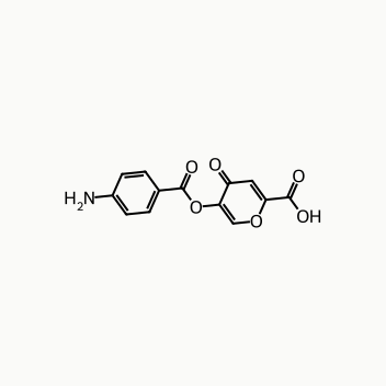 Nc1ccc(C(=O)Oc2coc(C(=O)O)cc2=O)cc1